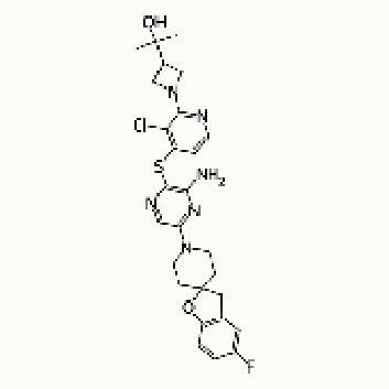 CC(C)(O)C1CN(c2nccc(Sc3ncc(N4CCC5(CC4)Cc4cc(F)ccc4O5)nc3N)c2Cl)C1